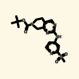 CC(C)(C)OC(=O)N1CCc2cnc(Nc3ccnc(S(C)(=O)=O)c3)nc2C1